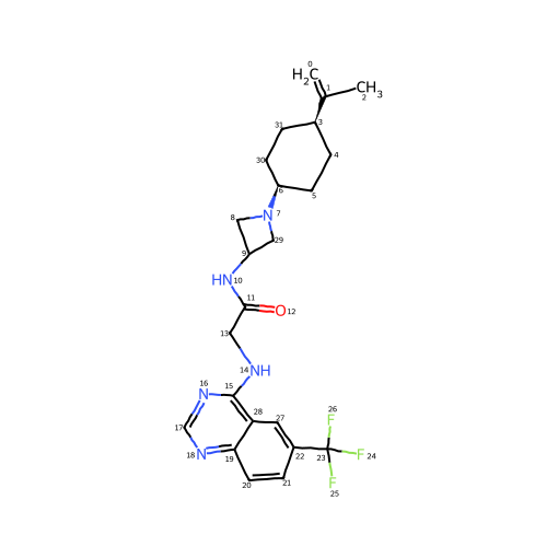 C=C(C)[C@H]1CC[C@@H](N2CC(NC(=O)CNc3ncnc4ccc(C(F)(F)F)cc34)C2)CC1